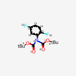 CC(C)(C)OC(=O)N(C(=O)OC(C)(C)C)c1cc(F)ccc1F